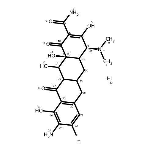 CN(C)[C@@H]1C(O)=C(C(N)=O)C(=O)[C@@]2(O)C(O)C3C(=O)c4c(cc(I)c(N)c4O)CC3CC12.I